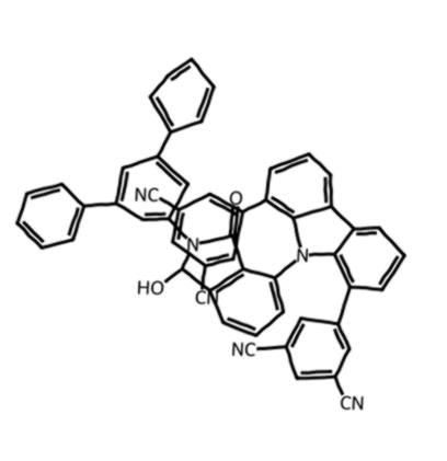 N#Cc1cc(C#N)cc(-c2cccc3c4cccc(-c5cc(C#N)cc(C#N)c5)c4n(-c4cccc5c4C(=O)N(c4cc(-c6ccccc6)cc(-c6ccccc6)c4)C5O)c23)c1